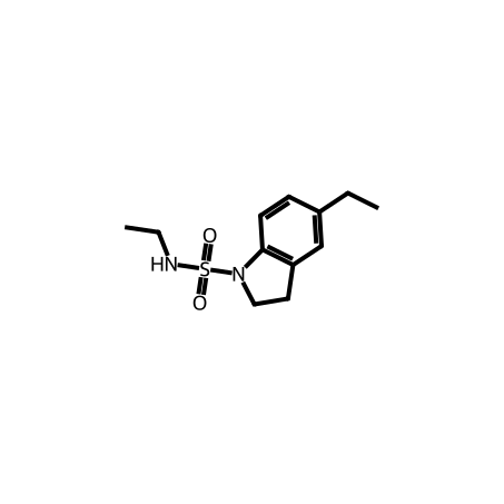 CCNS(=O)(=O)N1CCc2cc(CC)ccc21